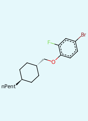 CCCCC[C@H]1CC[C@H](COc2ccc(Br)cc2F)CC1